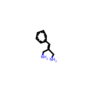 NCC(=Cc1ccccc1)CN